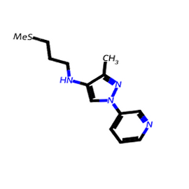 CSCCCNc1cn(-c2cccnc2)nc1C